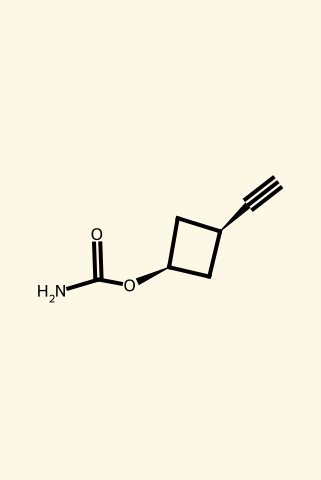 C#C[C@H]1C[C@@H](OC(N)=O)C1